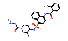 CCNCC(=O)N1CC[C@@H](NS(=O)(=O)c2ccc(NC(=O)c3ccccc3C)c3ccccc23)[C@@H](CC)C1